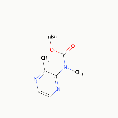 CCCCOC(=O)N(C)c1nccnc1C